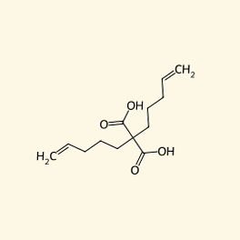 C=CCCCC(CCCC=C)(C(=O)O)C(=O)O